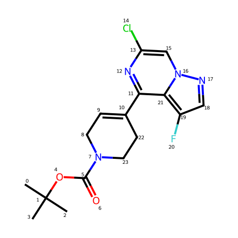 CC(C)(C)OC(=O)N1CC=C(c2nc(Cl)cn3ncc(F)c23)CC1